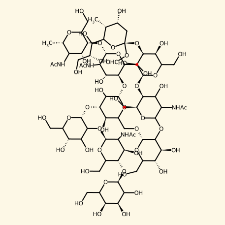 CC(=O)NC1C(OC2[C@@H](OCC3O[C@@H](O[C@@H]4C(CO)O[C@@H](O[C@@H]5C(CO)O[C@@H](C)C(NC(C)=O)[C@H]5O)C(NC(C)=O)[C@H]4O)C(O)[C@@H](O[C@H]4OC(CO)[C@@H](O)C(O)C4O[C@@H]4OC(CO)[C@@H](O[C@@H]5OC(CO)[C@H](O)[C@H](O)C5O)[C@H](O)C4NC(C)=O)[C@@H]3O)OC(CO)[C@@H](O)[C@@H]2O)O[C@@H](CO)[C@@H](O[C@@H]2OC(CO)[C@H](O)[C@H](O[C@]3(OC=O)C[C@@H](O)[C@@H](C)C(C(O)[C@H](O)CO)O3)C2O)C1O